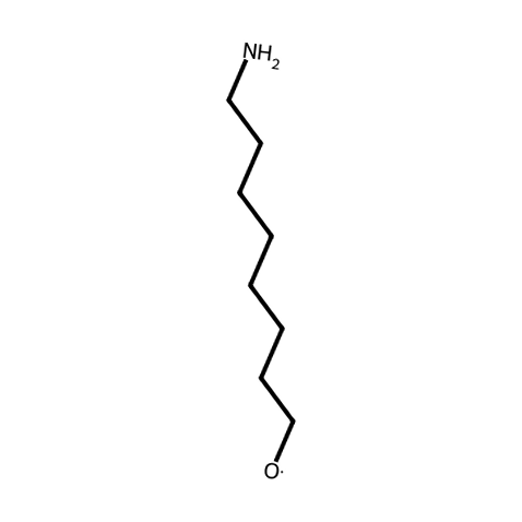 NCCCCCCCC[O]